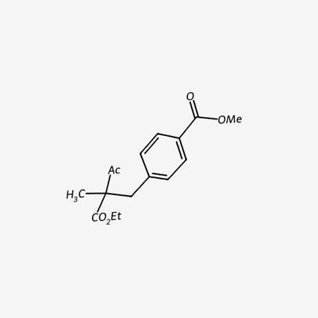 CCOC(=O)C(C)(Cc1ccc(C(=O)OC)cc1)C(C)=O